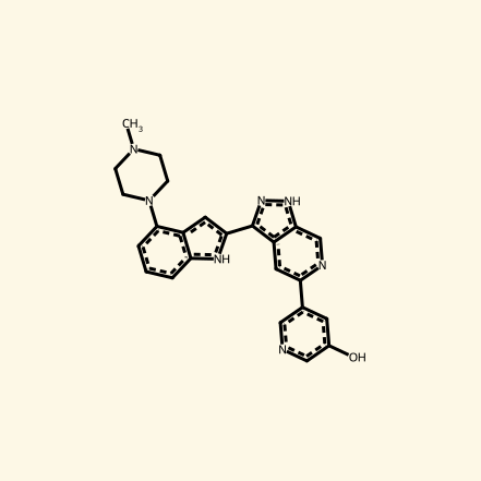 CN1CCN(c2cccc3[nH]c(-c4n[nH]c5cnc(-c6cncc(O)c6)cc45)cc23)CC1